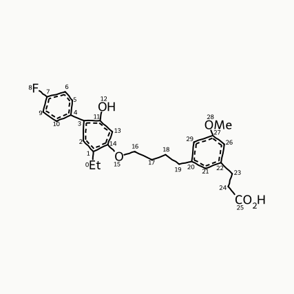 CCc1cc(-c2ccc(F)cc2)c(O)cc1OCCCCc1cc(CCC(=O)O)cc(OC)c1